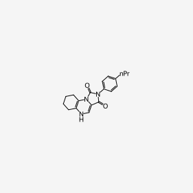 CCCc1ccc(-n2c(=O)c3c[nH]c4c(n-3c2=O)CCCC4)cc1